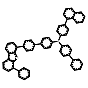 c1ccc(-c2ccc(P(c3ccc(-c4ccc(-c5cccc6c5oc5c(-c7ccccc7)cccc56)cc4)cc3)c3ccc(-c4cccc5ccccc45)cc3)cc2)cc1